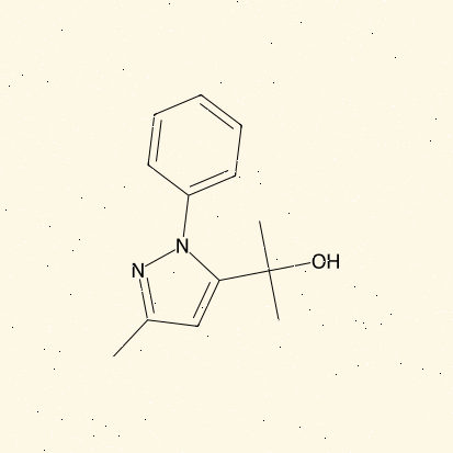 Cc1cc(C(C)(C)O)n(-c2ccccc2)n1